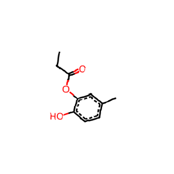 CCC(=O)Oc1cc(C)ccc1O